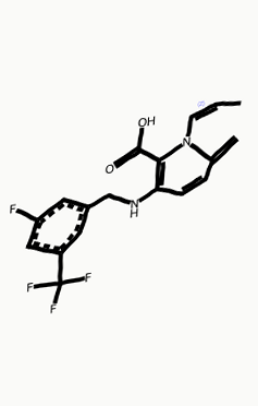 C=C1C=CC(NCc2cc(F)cc(C(F)(F)F)c2)=C(C(=O)O)N1/C=C\C